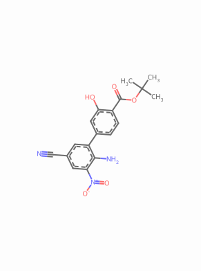 CC(C)(C)OC(=O)c1ccc(-c2cc(C#N)cc([N+](=O)[O-])c2N)cc1O